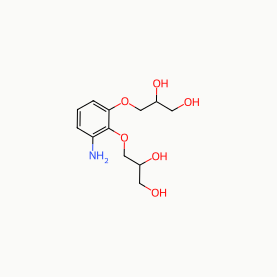 Nc1cccc(OCC(O)CO)c1OCC(O)CO